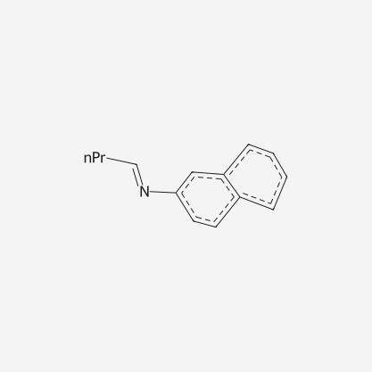 CCCC=Nc1ccc2ccccc2c1